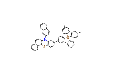 Cc1ccc(S2(c3ccc(C)cc3)c3ccccc3-c3cc(-c4ccc5c(c4)N(c4ccc6ccccc6c4)c4ccc6ccccc6c4S5)ccc32)cc1